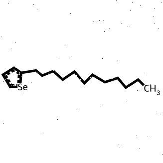 CCCCCCCCCCCCc1ccc[se]1